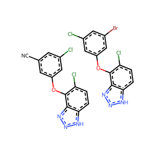 Clc1cc(Br)cc(Oc2c(Cl)ccc3[nH]nnc23)c1.N#Cc1cc(Cl)cc(Oc2c(Cl)ccc3[nH]nnc23)c1